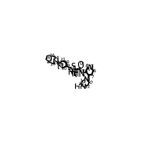 O=C(Nc1cnccc1N1CCNCC1)c1nnc(-c2ccc(N3CCOCC3)nc2)s1